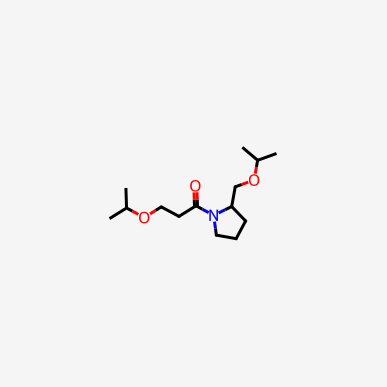 CC(C)OCCC(=O)N1CCCC1COC(C)C